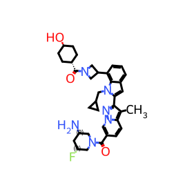 Cc1c(-c2cc3cccc(C4CN(C(=O)[C@H]5CC[C@H](O)CC5)C4)c3n2CC2CC2)nn2cc(C(=O)N3C[C@H](N)C[C@@H](F)C3)ccc12